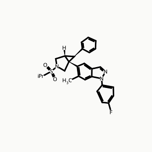 Cc1cc2c(cnn2-c2ccc(F)cc2)cc1[C@@]12CN(S(=O)(=O)C(C)C)C[C@@H]1[C@H]2c1ccccc1